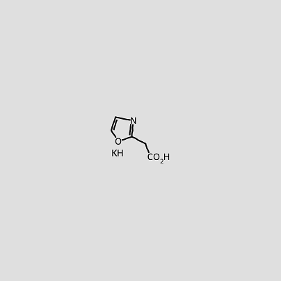 O=C(O)Cc1ncco1.[KH]